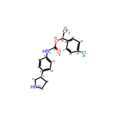 O=C(Nc1ccc([C@H]2CCNC2)cc1)O[C@H](c1ccc(Cl)cc1)C(F)(F)F